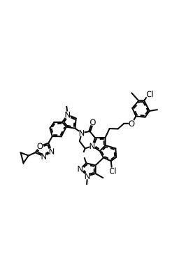 Cc1cc(OCCCc2c3n(c4c(-c5c(C)nn(C)c5C)c(Cl)ccc24)C(C)CN(c2cn(C)c4ccc(-c5nnc(C6CC6)o5)cc24)C3=O)cc(C)c1Cl